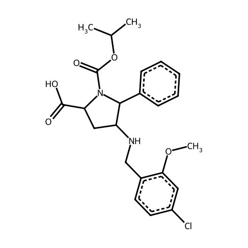 COc1cc(Cl)ccc1CNC1CC(C(=O)O)N(C(=O)OC(C)C)C1c1ccccc1